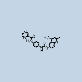 Cc1cc(N)c2cc(OC(=O)Nc3ccc(NC(=O)c4cnccn4)cc3)ccc2n1